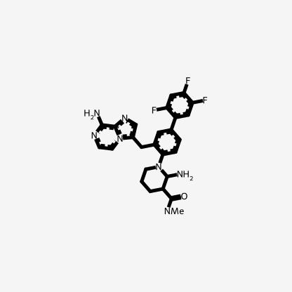 CNC(=O)C1CCCN(c2ccc(-c3cc(F)c(F)cc3F)cc2Cc2cnc3c(N)nccn23)C1N